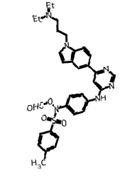 CCN(CC)CCCn1ccc2cc(-c3cc(Nc4ccc(N(OC=O)S(=O)(=O)c5ccc(C)cc5)cc4)ncn3)ccc21